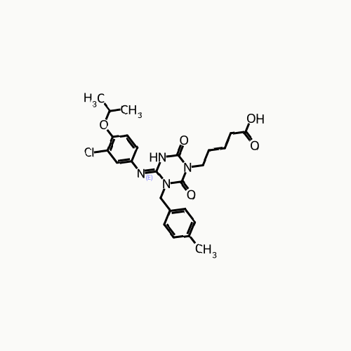 Cc1ccc(Cn2c(=O)n(CCCCC(=O)O)c(=O)[nH]/c2=N\c2ccc(OC(C)C)c(Cl)c2)cc1